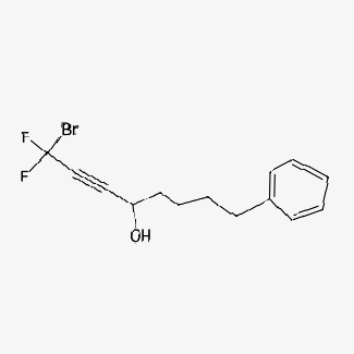 OC(C#CC(F)(F)Br)CCCCc1ccccc1